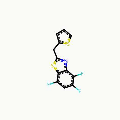 Fc1cc(F)c2sc(Cc3[c]ccs3)nc2c1F